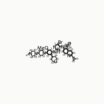 COc1cc(Nc2ncc(Br)c(Nc3ccc4nc(C5CC5)ccc4c3P(C)(C)=O)n2)c(C2CCOCC2)cc1N1CCC(N2CCN(C)CC2)CC1